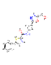 O=C(N[C@H]1C[C@H](c2nnc(CO)o2)C1)c1ncc(-c2ccccc2)s1